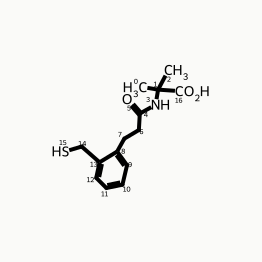 CC(C)(NC(=O)CCc1ccccc1CS)C(=O)O